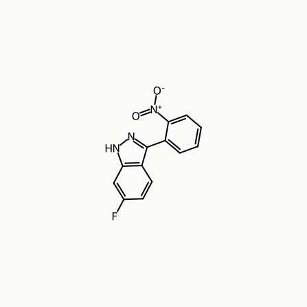 O=[N+]([O-])c1ccccc1-c1n[nH]c2cc(F)ccc12